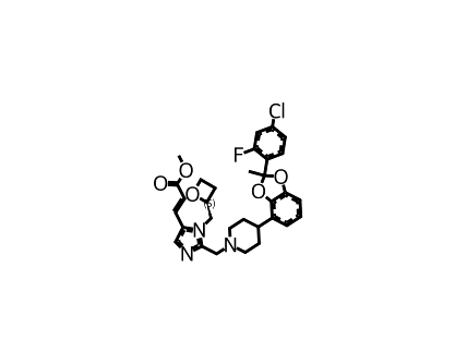 COC(=O)C=Cc1cnc(CN2CCC(c3cccc4c3OC(C)(c3ccc(Cl)cc3F)O4)CC2)n1C[C@@H]1CCO1